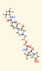 CC1(C)CC(C)(C)C1NC(=O)c1ccc(N2CCN(CCOCC(=O)N[C@H](C(=O)N3CC[C@@H](O)C3)C(C)(C)C)CC2=O)cn1